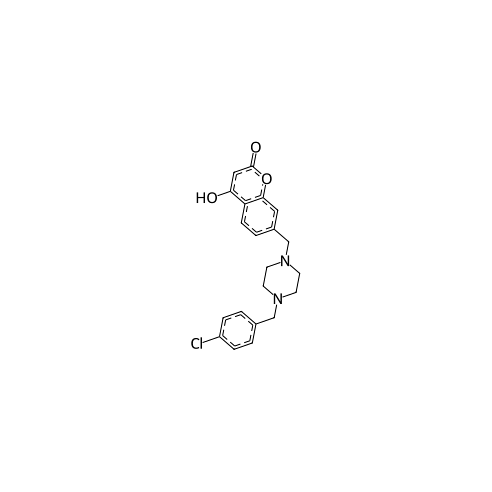 O=c1cc(O)c2ccc(CN3CCN(Cc4ccc(Cl)cc4)CC3)cc2o1